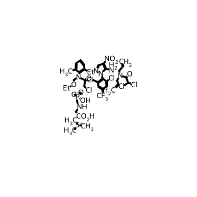 C=CCN(CC=C)C(=O)C(Cl)Cl.CCOCN(C(=O)CCl)c1c(C)cccc1CC.C[S+](C)C.Nc1c([N+](=O)[O-])cnn1-c1c(Cl)cc(C(F)(F)F)cc1Cl.O=C(O)CNCP(=O)([O-])O